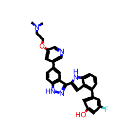 CN(C)CCOc1cncc(-c2ccc3[nH]nc(-c4cc5c(-c6cc(O)cc(F)c6)cccc5[nH]4)c3c2)c1